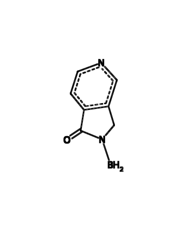 BN1Cc2cnccc2C1=O